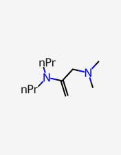 C=C(CN(C)C)N(CCC)CCC